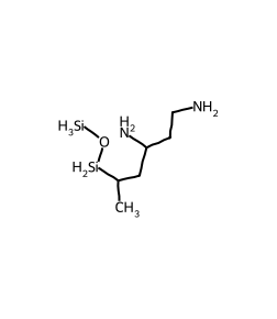 CC(CC(N)CCN)[SiH2]O[SiH3]